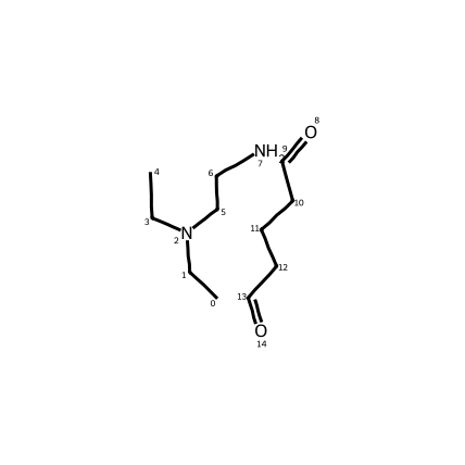 CCN(CC)CCN.O=CCCCC=O